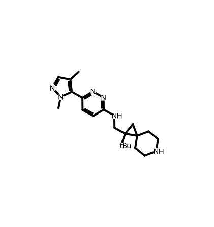 Cc1cnn(C)c1-c1ccc(NCC2(C(C)(C)C)CC23CCNCC3)nn1